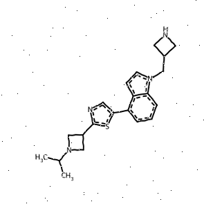 CC(C)N1CC(c2ncc(-c3cccc4c3ccn4CC3CNC3)s2)C1